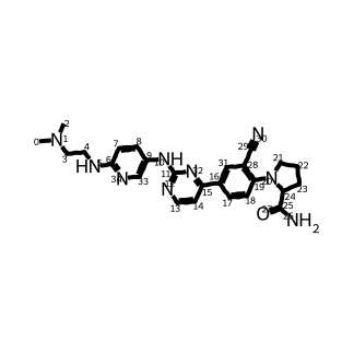 CN(C)CCNc1ccc(Nc2nccc(-c3ccc(N4CCCC4C(N)=O)c(C#N)c3)n2)cn1